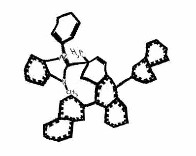 CN1c2ccccc2N(C2=CCCC=C2)C1C1(C)C=Cc2c(c(-c3ccc4ccccc4c3)c3ccccc3c2-c2ccc3ccccc3c2)C1